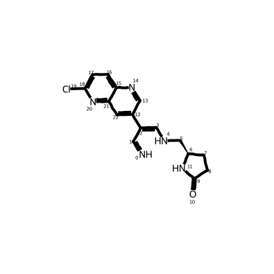 N=C/C(=C\NC[C@H]1CCC(=O)N1)c1cnc2ccc(Cl)nc2c1